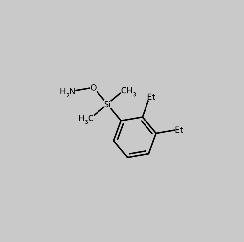 CCc1cccc([Si](C)(C)ON)c1CC